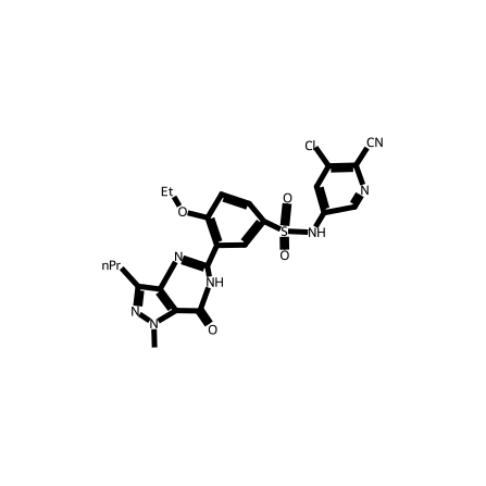 CCCc1nn(C)c2c(=O)[nH]c(-c3cc(S(=O)(=O)Nc4cnc(C#N)c(Cl)c4)ccc3OCC)nc12